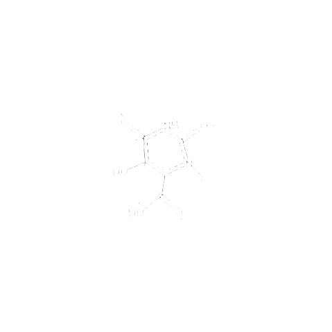 Cn1c(C(=O)O)c(O)c(=O)[nH]c1=O